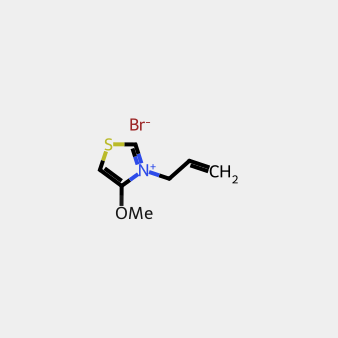 C=CC[n+]1cscc1OC.[Br-]